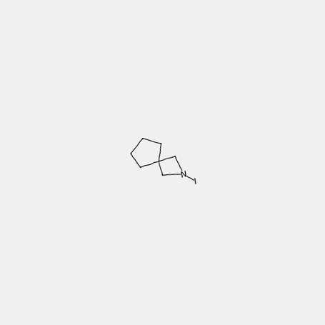 IN1CC2(CCCC2)C1